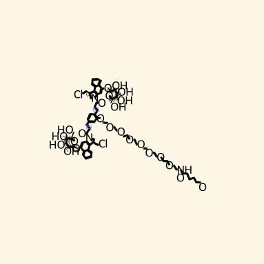 O=CCCCCC(=O)NCCOCCOCCOCCOCCOCCOCCOCCOc1cc(/C=C/C(=O)N2CC(CCl)c3c2cc(O[C@@H]2O[C@H](CO)[C@@H](O)[C@H](O)[C@H]2O)c2ccccc32)ccc1/C=C/C(=O)N1C[C@@H](CCl)c2c1cc(O[C@@H]1O[C@H](CO)[C@@H](O)[C@H](O)[C@H]1O)c1ccccc21